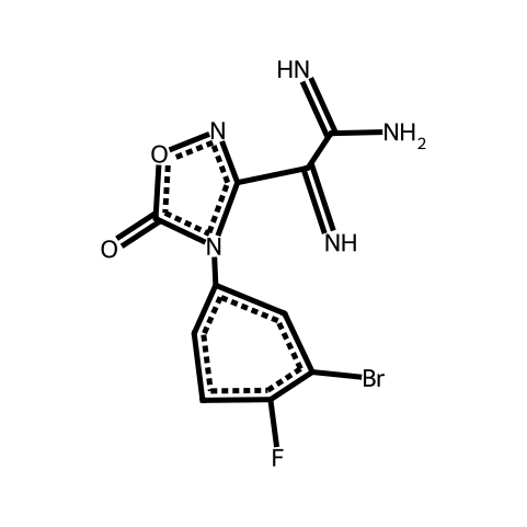 N=C(N)C(=N)c1noc(=O)n1-c1ccc(F)c(Br)c1